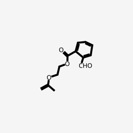 C=C(C)OCCOC(=O)c1ccccc1C=O